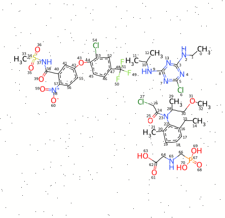 CCNc1nc(Cl)nc(NC(C)C)n1.CCc1cccc(C)c1N(C(=O)CCl)C(C)COC.CS(=O)(=O)NC(=O)c1cc(Oc2ccc(C(F)(F)F)cc2Cl)ccc1[N+](=O)[O-].O=C(O)CNCP(=O)(O)O